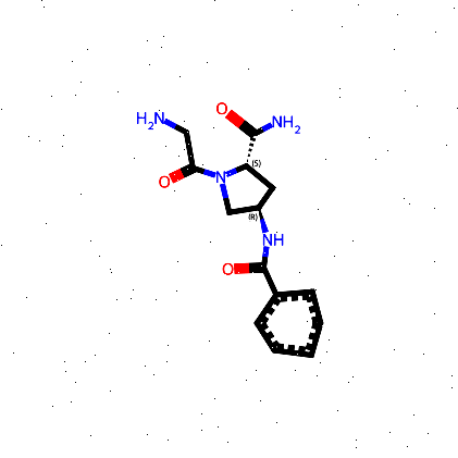 NCC(=O)N1C[C@H](NC(=O)c2ccccc2)C[C@H]1C(N)=O